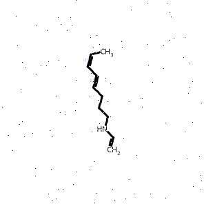 C=CNCCC/C=C/C=C\C